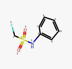 O=S(=O)(CF)Nc1[c]cccc1